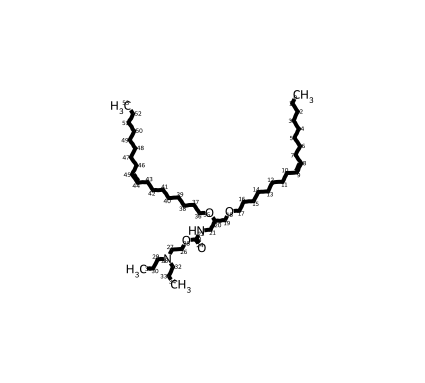 CCCCCCCC/C=C\CCCCCCCCOCC(CNC(=O)OCCN(CCC)CCC)OCCCCCCCC/C=C\CCCCCCCC